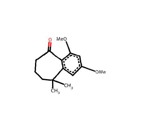 COc1cc(OC)c2c(c1)C(C)(C)CCCC2=O